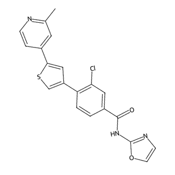 Cc1cc(-c2cc(-c3ccc(C(=O)Nc4ncco4)cc3Cl)cs2)ccn1